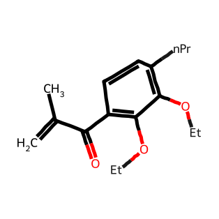 C=C(C)C(=O)c1ccc(CCC)c(OCC)c1OCC